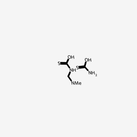 CNCNC(O)=S.NC(O)=S